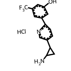 Cl.NC1CC1c1ccc(-c2cc(O)cc(C(F)(F)F)c2)nc1